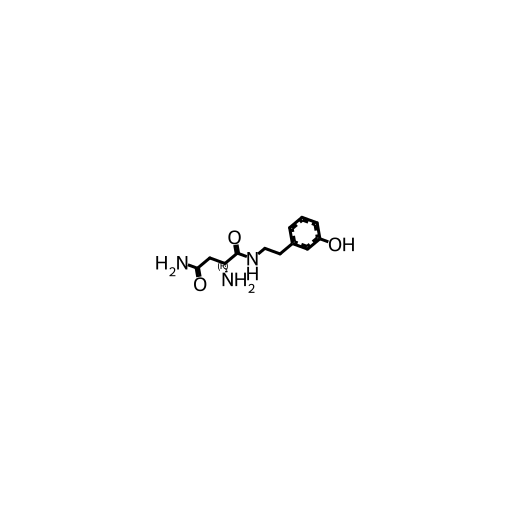 NC(=O)C[C@@H](N)C(=O)NCCc1cccc(O)c1